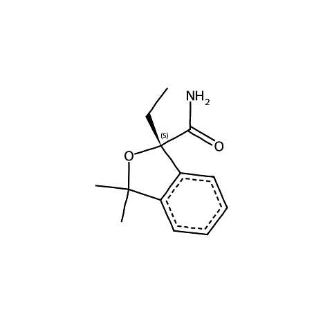 CC[C@]1(C(N)=O)OC(C)(C)c2ccccc21